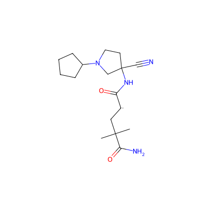 CC(C)(C[CH]C(=O)NC1(C#N)CCN(C2CCCC2)C1)C(N)=O